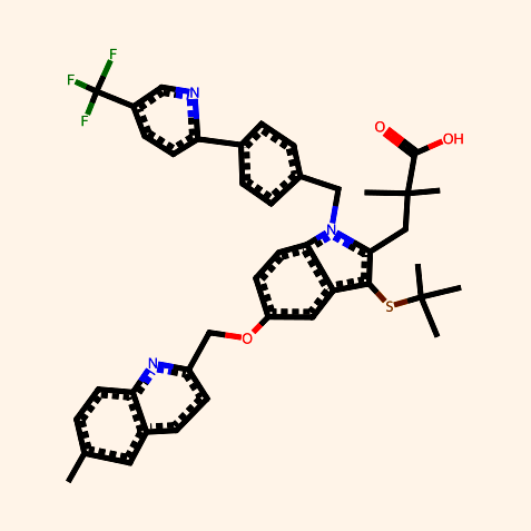 Cc1ccc2nc(COc3ccc4c(c3)c(SC(C)(C)C)c(CC(C)(C)C(=O)O)n4Cc3ccc(-c4ccc(C(F)(F)F)cn4)cc3)ccc2c1